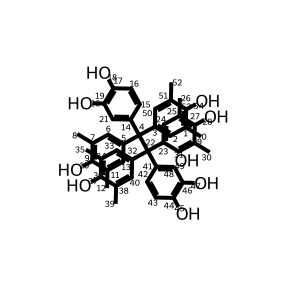 Cc1cc(C(c2cc(C)c(O)c(C)c2)(c2ccc(O)c(O)c2)C(c2cc(C)c(O)c(C)c2)(c2cc(C)c(O)c(C)c2)c2ccc(O)c(O)c2O)cc(C)c1O